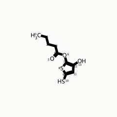 CCCCC(=O)Oc1sc(S)cc1O